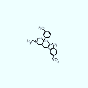 CN1CCC2(c3cccc(O)c3)Cc3[nH]c4ccc([N+](=O)[O-])cc4c3CC2C1